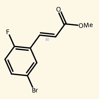 COC(=O)/C=C/c1cc(Br)ccc1F